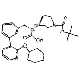 CC(C)(C)OC(=O)N1CC[C@H]([C@H](Cc2cccc(-c3cccnc3OC3CCCCC3)c2)C(=O)O)C1